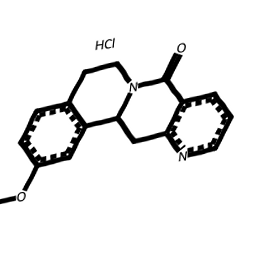 COc1ccc2c(c1)C1Cc3ncccc3C(=O)N1CC2.Cl